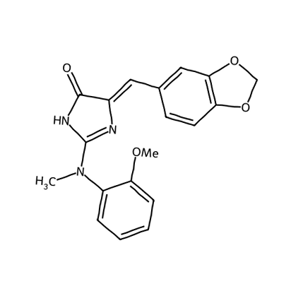 COc1ccccc1N(C)C1=N/C(=C\c2ccc3c(c2)OCO3)C(=O)N1